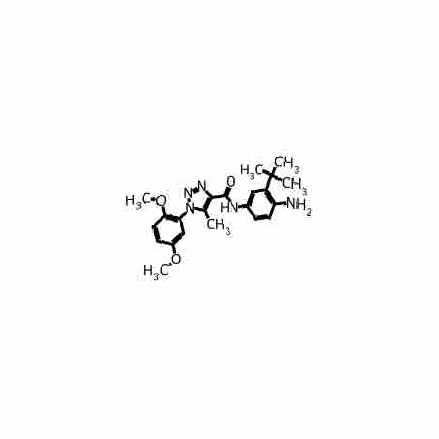 COc1ccc(OC)c(-n2nnc(C(=O)Nc3ccc(N)c(C(C)(C)C)c3)c2C)c1